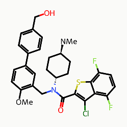 CN[C@H]1CC[C@H](N(Cc2cc(-c3ccc(CO)cc3)ccc2OC)C(=O)c2sc3c(F)ccc(F)c3c2Cl)CC1